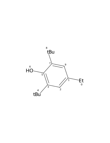 [C]Cc1cc(C(C)(C)C)c(O)c(C(C)(C)C)c1